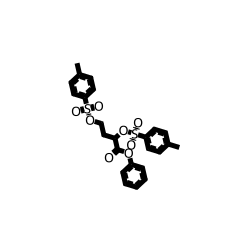 Cc1ccc(S(=O)(=O)OCCC(OS(=O)(=O)c2ccc(C)cc2)C(=O)Oc2ccccc2)cc1